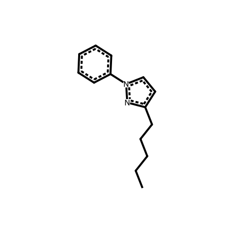 CCCCCc1ccn(-c2ccccc2)n1